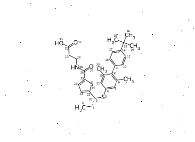 CC[C@@H](Sc1cc(C)c(-c2ccc(C(C)(C)C)cc2)c(C)c1)c1ccc(C(=O)NCCC(=O)O)s1